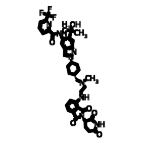 CN(CCNc1cccc2c1C(=O)N(C1CCC(=O)NC1=O)C2=O)C[C@H]1CC[C@H](n2cc3cc(NC(=O)c4cccc(C(F)(F)F)n4)c(C(C)(C)O)cc3n2)CC1